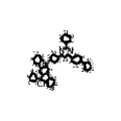 CC1(c2ccccc2)c2ccccc2-c2cc3c(cc21)c1ccccc1n3-c1ccc(-c2cc(-c3ccc(-c4ccccc4)cc3)nc(-c3ccccc3)n2)cc1